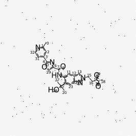 Cc1cc(-c2nc(C(=O)Nc3cc4cn(CCS(C)(=O)=O)nc4cc3C(C)(C)O)co2)ccn1